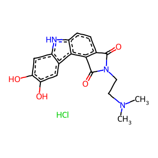 CN(C)CCN1C(=O)c2ccc3[nH]c4cc(O)c(O)cc4c3c2C1=O.Cl